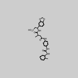 Cc1ccccc1NC(=O)Nc1ccc(NC(=O)CC(C)C(=O)NC(CC(=O)O)c2ccc3c(c2)OCO3)cc1